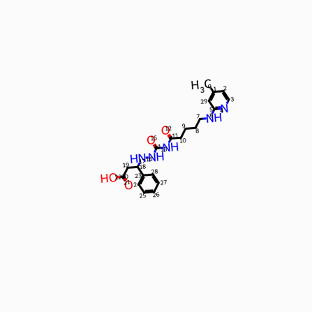 Cc1ccnc(NCCCCC(=O)NC(=O)NNC(CC(=O)O)c2ccccc2)c1